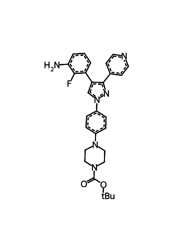 CC(C)(C)OC(=O)N1CCN(c2ccc(-n3cc(-c4cccc(N)c4F)c(-c4ccncc4)n3)cc2)CC1